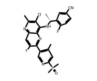 Cc1cc(P(C)(C)=O)ncc1-c1nc2c(N[C@H](C)c3cc(C#N)ccc3F)c(Cl)c(C)nc2cc1F